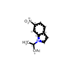 CC(=O)OC(C)n1ccc2ccc([N+](=O)[O-])cc21